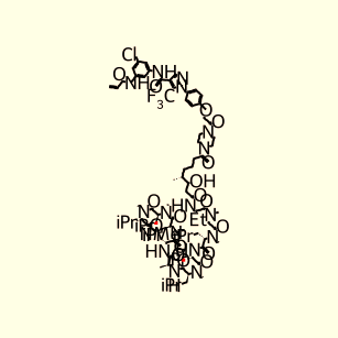 C=CC(=O)Nc1cc(Cl)cc(NC(=O)c2cnn(-c3ccc(OCC(=O)N4CCN(C(=O)CCC[C@@H](C)[C@@H](O)CC(=O)N[C@@H](CC)C(=O)N(C)CC(=O)N(C)[C@@H](CC(C)C)C(=O)N[C@H](C(=O)N(C)[C@@H](CC(C)C)C(=O)N[C@@H](C)C(=O)N[C@H](C)C(=O)N(C)[C@@H](CC(C)C)C(=O)N(C)[C@@H](CC(C)C)C(=O)N(C)[C@H](C(=O)NC)C(C)C)C(C)C)CC4)cc3)c2C(F)(F)F)c1